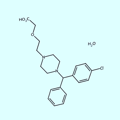 O.O=C(O)COCCN1CCN(C(c2ccccc2)c2ccc(Cl)cc2)CC1